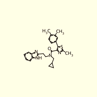 Cc1nc(C(=O)N(CCc2nc3ccccc3[nH]2)CC2CC2)c(-c2ccc(C)c(C)c2)s1